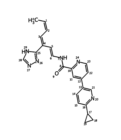 C\C=C/C=C(\C=C\NC(=O)c1cc(-c2ccc(C3CC3)nc2)ccn1)c1nnc[nH]1